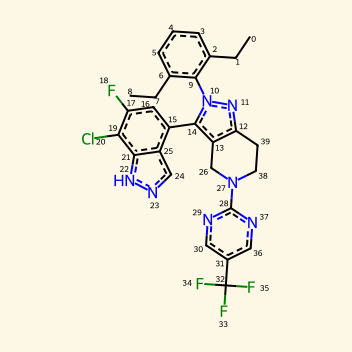 CCc1cccc(CC)c1-n1nc2c(c1-c1cc(F)c(Cl)c3[nH]ncc13)CN(c1ncc(C(F)(F)F)cn1)CC2